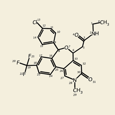 CCNC(=O)CC1OC(c2ccc(Cl)cc2)c2cc(C(F)(F)F)ccc2-c2cn(C)c(=O)cc21